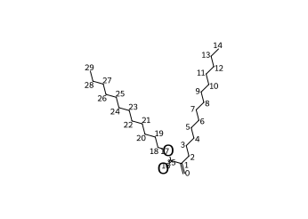 C=C(CCCCCCCCCCCCC)C(=O)OCCCCCCCCCCCC